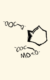 C1=CCCCC1.O=C([O-])[O-].O=C([O-])[O-].[Mo+4]